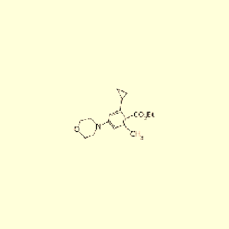 CCOC(=O)c1c(C)cc(N2CCOCC2)cc1C1CC1